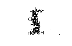 CSCCC(C)Nc1ccc(-c2nc3nc(O[C@H]4CO[C@H](CO)[C@@H](O)C4)[nH]c3cc2Cl)cc1